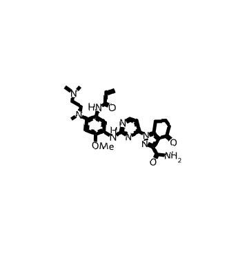 C=CC(=O)Nc1cc(Nc2nccc(-n3nc(C(N)=O)c4c3CCCC4=O)n2)c(OC)cc1N(C)CCN(C)C